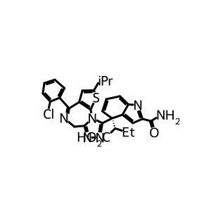 CCC(C(=O)O)[C@]1(c2nnc3n2-c2sc(C(C)C)cc2C(c2ccccc2Cl)=NC3)C=CC=C2N=C(C(N)=O)C=C21